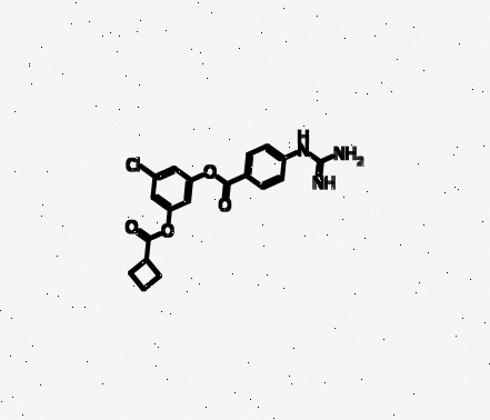 N=C(N)Nc1ccc(C(=O)Oc2cc(Cl)cc(OC(=O)C3CCC3)c2)cc1